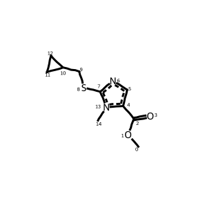 COC(=O)c1cnc(SCC2CC2)n1C